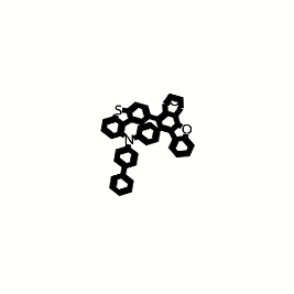 C1=CC2OC1C1=C(c3ccc4sc5cccc(N(c6ccccc6)c6ccc(-c7ccccc7)cc6)c5c4c3)C=C3c4ccccc4OC3C12